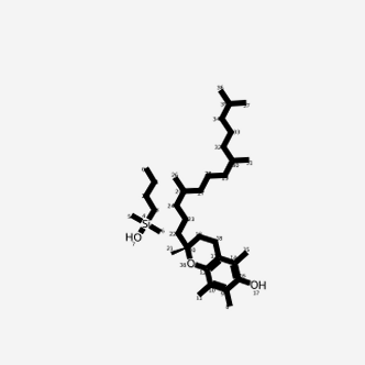 CCCC[Si](C)(C)O.Cc1c(C)c2c(c(C)c1O)CC[C@@](C)(CCCC(C)CCCC(C)CCCC(C)C)O2